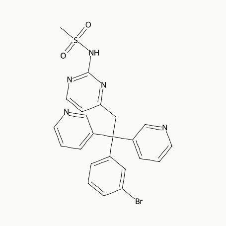 CS(=O)(=O)Nc1nccc(CC(c2cccnc2)(c2cccnc2)c2cccc(Br)c2)n1